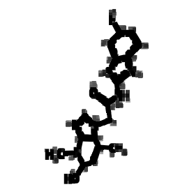 CC1=CC(O)N(C)c2ncn(CC(=O)Nc3nc4ccc(F)cc4s3)c21